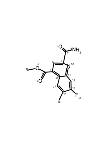 COC(=O)c1cc(C(N)=O)nc2cc(F)c(C)cc12